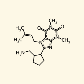 CC(C)=CCn1c(C2CCCC2CN)nc2c1c(=O)n(C)c(=O)n2C